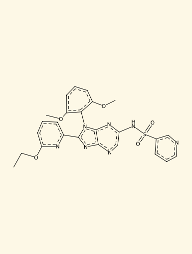 CCOc1cccc(-c2nc3ncc(NS(=O)(=O)c4cccnc4)nc3n2-c2c(OC)cccc2OC)n1